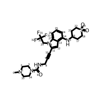 CN1CCN(C(=O)NCC#Cc2cc3c(NC4CCS(=O)(=O)CC4)cccc3n2CC(F)(F)F)CC1